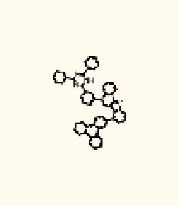 c1ccc(C2=NC(c3cccc(-c4cc5c(oc6cccc(-c7ccc8c9ccccc9c9ccccc9c8c7)c65)c5ccccc45)c3)NC(c3ccccc3)=N2)cc1